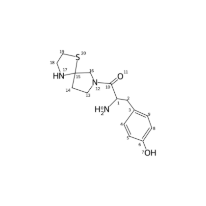 NC(Cc1ccc(O)cc1)C(=O)N1CCC2(C1)NCCS2